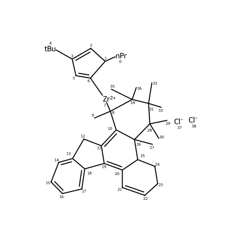 CCCC1C=C(C(C)(C)C)C=[C]1[Zr+2][C]1(C)C2=C3Cc4ccccc4C3=C3C=CCCC3C2(C)C(C)(C)C(C)(C)C1(C)C.[Cl-].[Cl-]